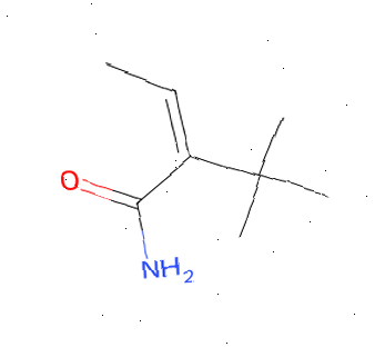 CC=C(C(N)=O)C(C)(C)C